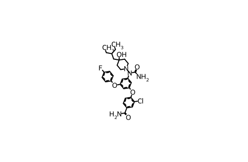 CCC(CC)CC1(O)CCN(N(C(N)=O)c2cc(Oc3ccc(F)cc3)cc(Oc3ccc(C(N)=O)cc3Cl)c2)CC1